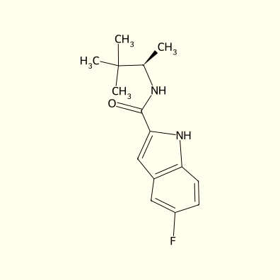 C[C@@H](NC(=O)c1cc2cc(F)ccc2[nH]1)C(C)(C)C